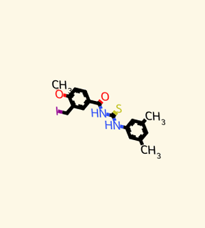 COc1ccc(C(=O)NC(=S)Nc2cc(C)cc(C)c2)cc1CI